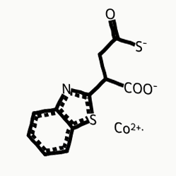 O=C([S-])CC(C(=O)[O-])c1nc2ccccc2s1.[Co+2]